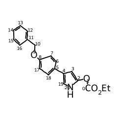 CCOC(=O)Oc1cc(-c2ccc(OCc3ccccc3)cc2)c[nH]1